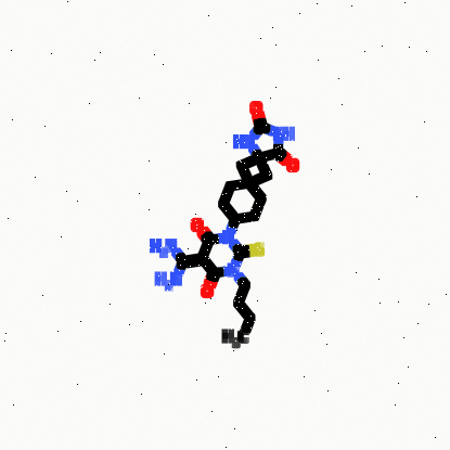 CCCCN1C(=O)C(=C(N)N)C(=O)N(C2CCC3(CC2)CC2(C3)NC(=O)NC2=O)C1=S